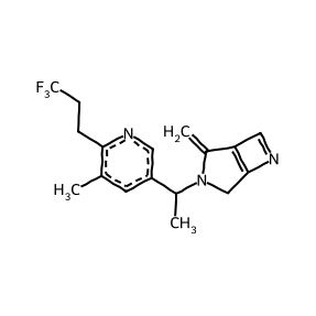 C=C1C2=C(CN1C(C)c1cnc(CCC(F)(F)F)c(C)c1)N=C2